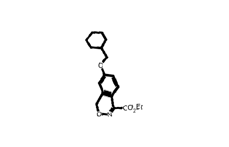 CCOC(=O)C1=NOCc2cc(OCC3CCCCC3)ccc21